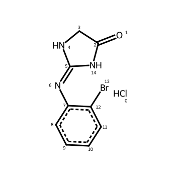 Cl.O=C1CNC(=Nc2ccccc2Br)N1